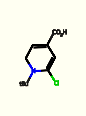 CC(C)(C)N1CC=C(C(=O)O)C=C1Cl